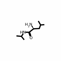 CC(C)C[C@H](N)C(=O)NC(C)C